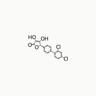 O=C1O[C@H](c2ccc(-c3ccc(Cl)cc3Cl)cc2)C(O)=C1O